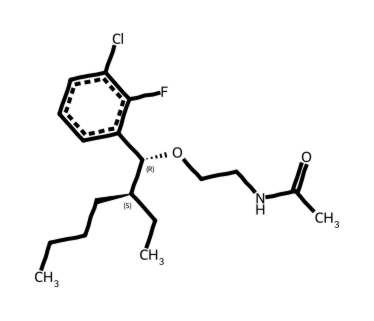 CCCC[C@H](CC)[C@@H](OCCNC(C)=O)c1cccc(Cl)c1F